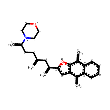 C=C(CCC(=C)N1CCOCC1)CC(=C)c1cc2c(=C)c3ccccc3c(=C)c2o1